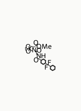 COC(=O)[C@@H]1CC2(CN1C(=O)CNC(=O)c1ccc(C(F)(F)c3ccccc3)cc1)OCCO2